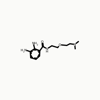 CN(C)CCOCCNC(=O)c1cccc(N)c1N